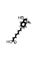 CCCCCCCC(=O)O.Cn1cc(O)c2ccccc21